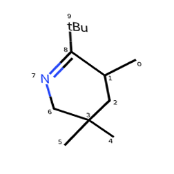 CC1CC(C)(C)CN=C1C(C)(C)C